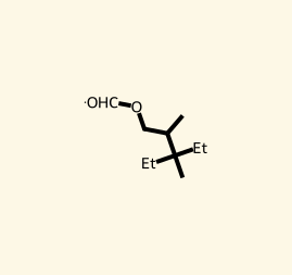 CCC(C)(CC)C(C)CO[C]=O